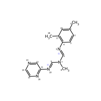 Cc1ccc(/N=C/N(C)/C=N/c2cnccn2)c(C)c1